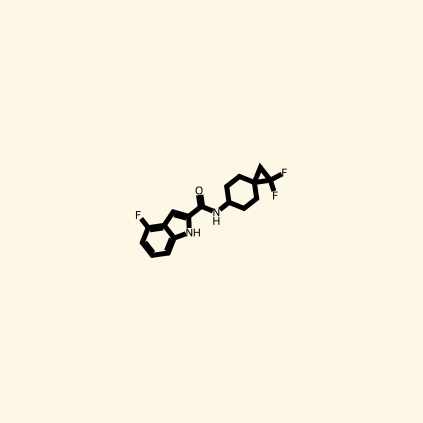 O=C(NC1CCC2(CC1)CC2(F)F)c1cc2c(F)cccc2[nH]1